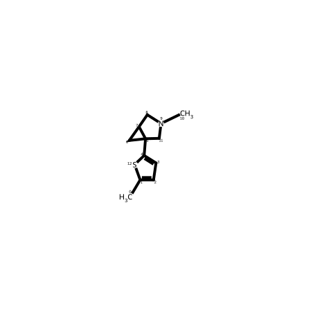 Cc1ccc(C23CC2CN(C)C3)s1